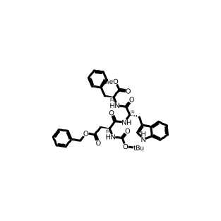 COC(=O)[C@H](Cc1ccccc1)NC(=O)[C@H](Cc1c[nH]c2ccccc12)NC(=O)[C@H](CC(=O)OCc1ccccc1)NC(=O)OC(C)(C)C